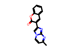 Cc1ccn2cc(-c3cc4ccccc4oc3=O)nc2n1